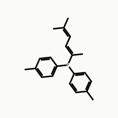 CC(C)=C/C=C(\C)P(c1ccc(C)cc1)c1ccc(C)cc1